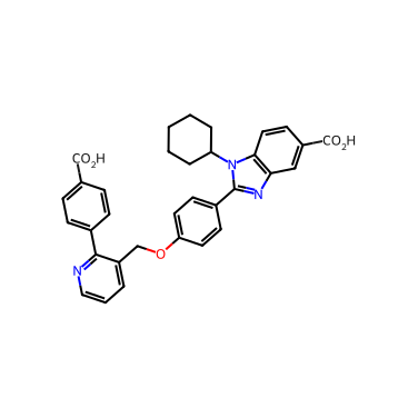 O=C(O)c1ccc(-c2ncccc2COc2ccc(-c3nc4cc(C(=O)O)ccc4n3C3CCCCC3)cc2)cc1